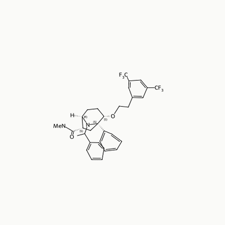 CNC(=O)[C@H]1C[C@]2(c3ccccc3)[C@@H](OCCc3cc(C(F)(F)F)cc(C(F)(F)F)c3)CC[C@H]1N2C(C)c1ccccc1